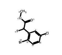 COC(=O)C(F)c1cc(Cl)ccc1Br